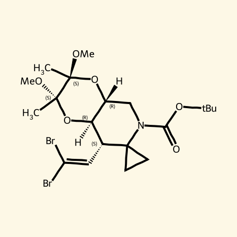 CO[C@@]1(C)O[C@@H]2[C@@H](C=C(Br)Br)C3(CC3)N(C(=O)OC(C)(C)C)C[C@H]2O[C@]1(C)OC